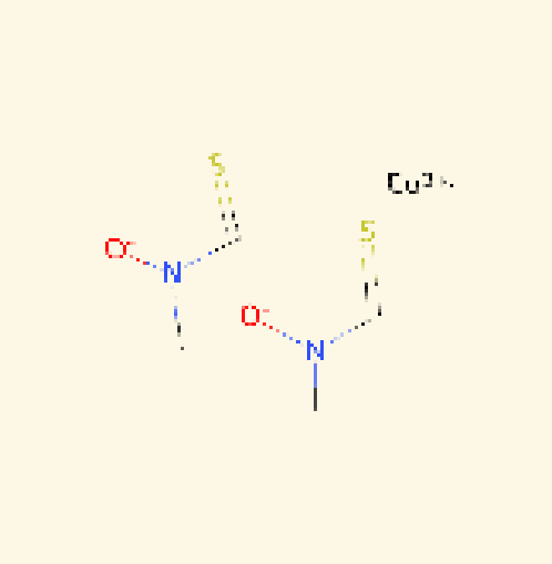 CN([O-])C=S.CN([O-])C=S.[Cu+2]